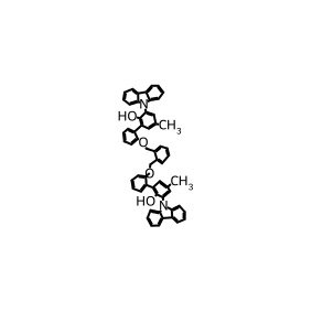 Cc1cc(-c2ccccc2OCc2ccccc2COc2ccccc2-c2cc(C)cc(-n3c4ccccc4c4ccccc43)c2O)c(O)c(-n2c3ccccc3c3ccccc32)c1